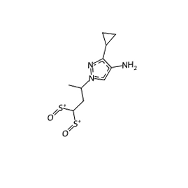 CC(CC([S+]=O)[S+]=O)n1cc(N)c(C2CC2)n1